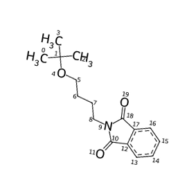 CC(C)(C)OCCCCN1C(=O)c2ccccc2C1=O